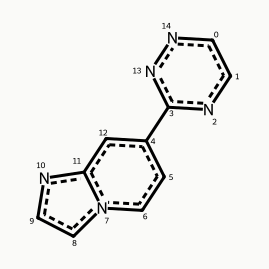 c1cnc(-c2ccn3ccnc3c2)nn1